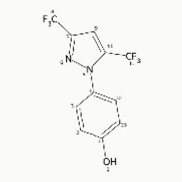 Oc1ccc(-n2nc(C(F)(F)F)cc2C(F)(F)F)cc1